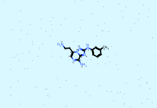 Cc1cccc(Nc2nc3c(N)ncc(CCN)n3n2)c1